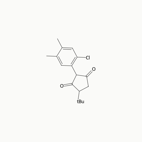 Cc1cc(Cl)c(C2C(=O)CC(C(C)(C)C)C2=O)cc1C